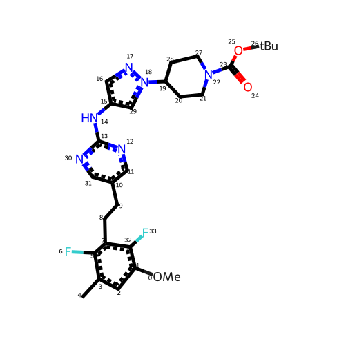 COc1cc(C)c(F)c(CCc2cnc(Nc3cnn(C4CCN(C(=O)OC(C)(C)C)CC4)c3)nc2)c1F